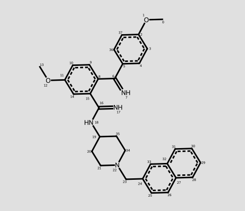 COc1ccc(C(=N)c2ccc(OC)cc2C(=N)NC2CCN(Cc3ccc4ccccc4c3)CC2)cc1